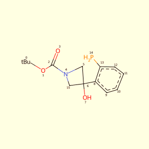 CC(C)(C)OC(=O)N1CC(O)(c2ccccc2P)C1